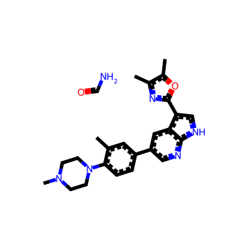 Cc1cc(-c2cnc3[nH]cc(-c4nc(C)c(C)o4)c3c2)ccc1N1CCN(C)CC1.NC=O